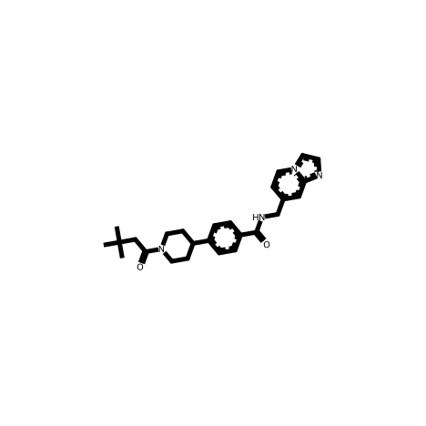 CC(C)(C)CC(=O)N1CCC(c2ccc(C(=O)NCc3ccn4ccnc4c3)cc2)CC1